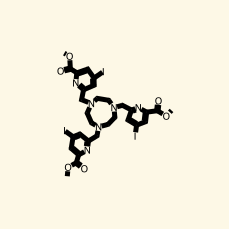 COC(=O)c1cc(I)cc(CN2CCN(Cc3cc(I)cc(C(=O)OC)n3)CCN(Cc3cc(I)cc(C(=O)OC)n3)CC2)n1